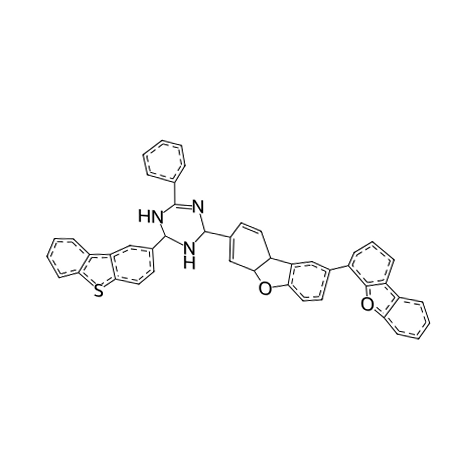 C1=CC2c3cc(-c4cccc5c4oc4ccccc45)ccc3OC2C=C1C1N=C(c2ccccc2)NC(c2ccc3sc4ccccc4c3c2)N1